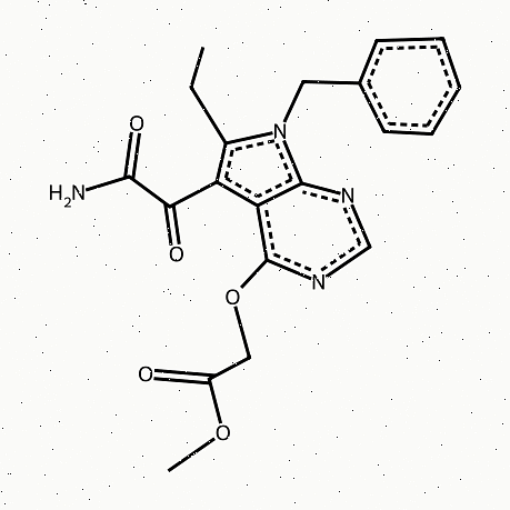 CCc1c(C(=O)C(N)=O)c2c(OCC(=O)OC)ncnc2n1Cc1ccccc1